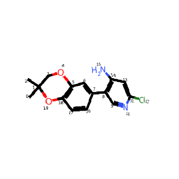 CC1(C)COc2cc(-c3cnc(Cl)cc3N)ccc2O1